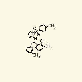 Cc1ccc(S(=O)(=O)N2CCSC2=NC(Cc2cccc(C)c2)c2cccc(C)c2C)cc1